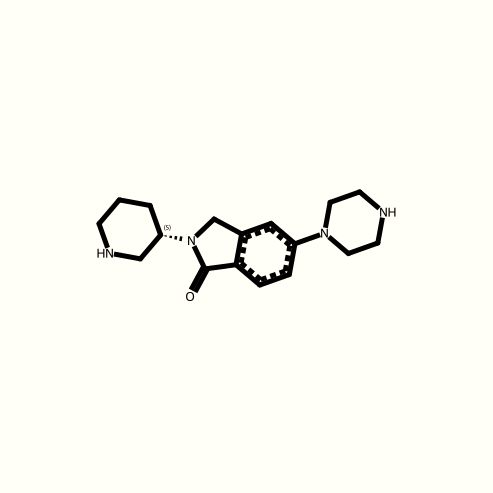 O=C1c2ccc(N3CCNCC3)cc2CN1[C@H]1CCCNC1